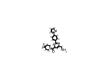 NCc1cc(C(=O)N2CCC(F)(F)CC2)nc(-c2ccc(-n3cccn3)cc2)n1